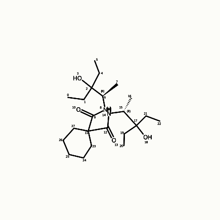 CCC(O)(CC)[C@@H](C)NC(=O)C1(C(=O)N[C@H](C)C(O)(CC)CC)CCCCC1